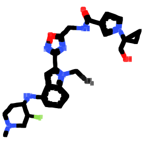 CN1CC[C@@H](Nc2cccc3c2cc(-c2noc(CNC(=O)c4ccn(C5(CO)CC5)c4)n2)n3CC(F)(F)F)[C@@H](F)C1